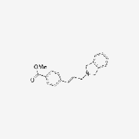 COC(=O)c1ccc(C=CCN2Cc3ccccc3C2)cc1